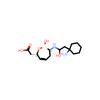 NC1(CC(O)N[C@H]2CC=C[C@H](CC(=O)O)OB2O)CCCCC1